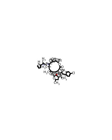 CC[C@H]1OC(=O)[C@H](C)[C@@H](OC(=O)Cc2ccc(Cl)cc2)[C@H](C)[C@@H](OC2OC(C)CC(N(C)C)C2O)[C@](C)(OC)C[C@@H](C)/C(=N\N=C(/C)c2ccc[nH]2)[C@H](C)[C@@H](O)[C@]1(C)O